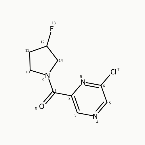 O=C(c1cncc(Cl)n1)N1CCC(F)C1